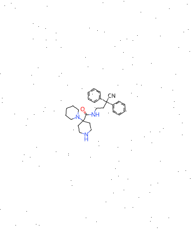 N#CC(CCNC(=O)C1(N2CCCCC2)CCNCC1)(c1ccccc1)c1ccccc1